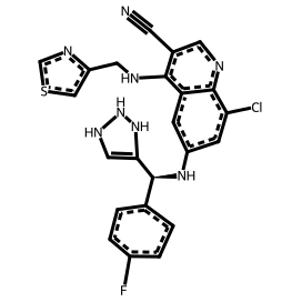 N#Cc1cnc2c(Cl)cc(N[C@H](C3=CNNN3)c3ccc(F)cc3)cc2c1NCc1cscn1